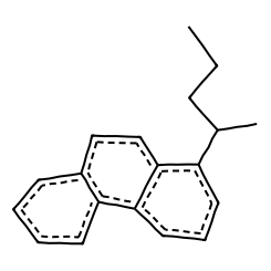 CCCC(C)c1cccc2c1ccc1ccccc12